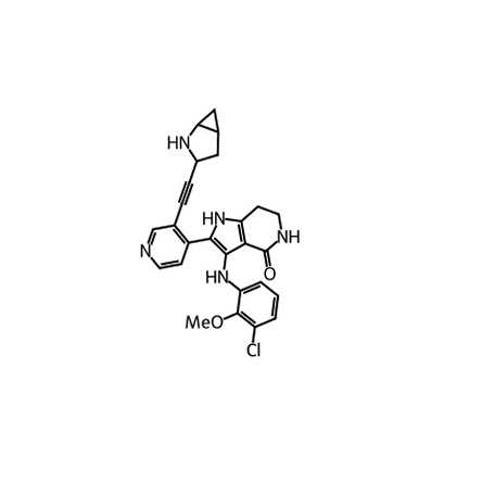 COc1c(Cl)cccc1Nc1c(-c2ccncc2C#CC2CC3CC3N2)[nH]c2c1C(=O)NCC2